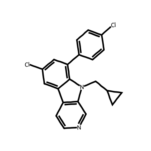 Clc1ccc(-c2cc(Cl)cc3c4ccncc4n(CC4CC4)c23)cc1